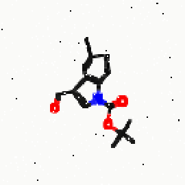 Cc1ccc2c(c1)c(C=O)cn2C(=O)OC(C)(C)C